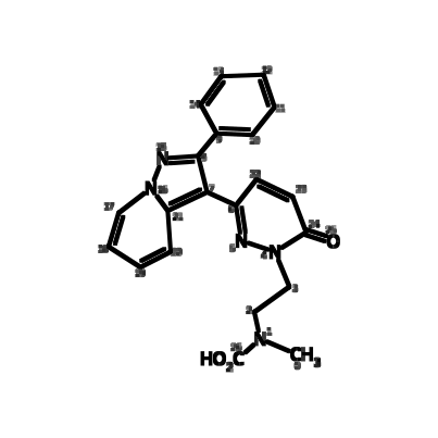 CN(CCn1nc(-c2c(-c3ccccc3)nn3ccccc23)ccc1=O)C(=O)O